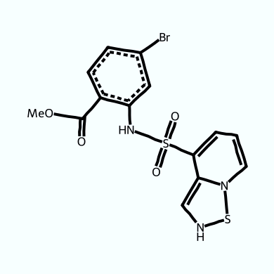 COC(=O)c1ccc(Br)cc1NS(=O)(=O)C1=CC=CN2SNC=C12